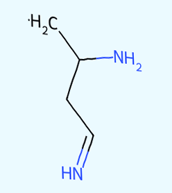 [CH2]C(N)CC=N